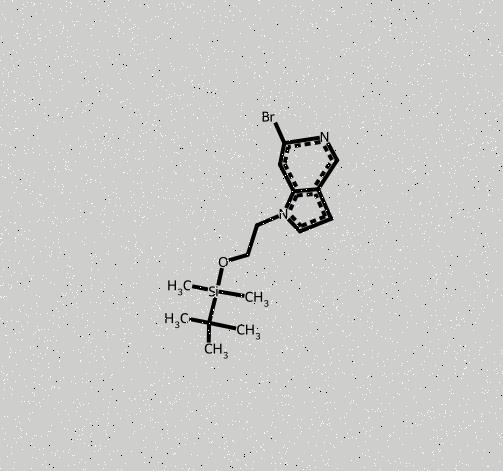 CC(C)(C)[Si](C)(C)OCCn1ccc2cnc(Br)cc21